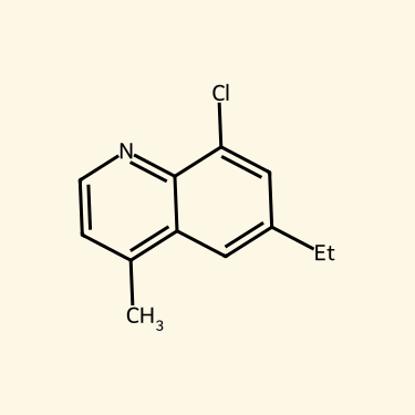 CCc1cc(Cl)c2nccc(C)c2c1